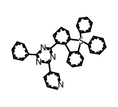 c1ccc(-c2nc(-c3cccnc3)nc(-c3cccc4c3-c3ccccc3S4(c3ccccc3)c3ccccc3)n2)cc1